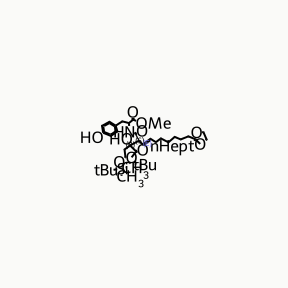 CCCCCCCC1(CCCCCC/C=C/[C@H](C(=O)NC(Cc2ccc(O)cc2)C(=O)OC)[C@](O)(CCO[Si](C)(C)C(C)(C)C)C(=O)OC(C)(C)C)OCCO1